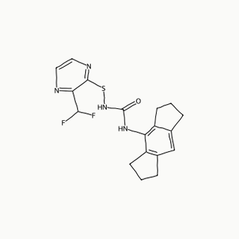 O=C(NSc1nccnc1C(F)F)Nc1c2c(cc3c1CCC3)CCC2